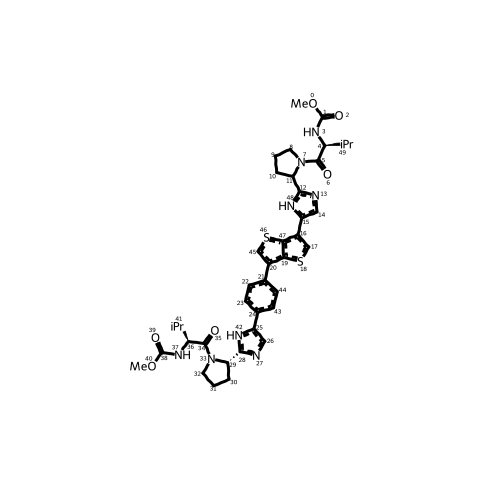 COC(=O)N[C@H](C(=O)N1CCCC1c1ncc(-c2csc3c(-c4ccc(-c5cnc([C@@H]6CCCN6C(=O)[C@@H](NC(=O)OC)C(C)C)[nH]5)cc4)csc23)[nH]1)C(C)C